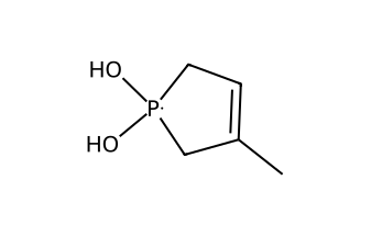 CC1=CC[P](O)(O)C1